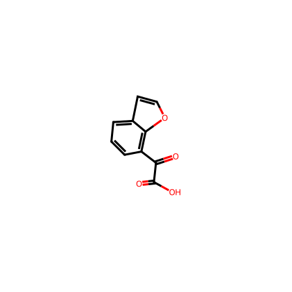 O=C(O)C(=O)c1cccc2ccoc12